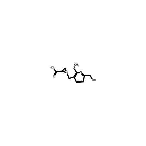 COc1nc(CO)ccc1CN1CC1C(=O)O